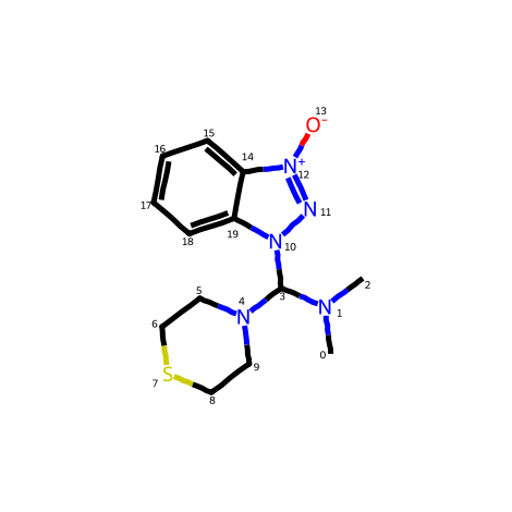 CN(C)C(N1CCSCC1)n1n[n+]([O-])c2ccccc21